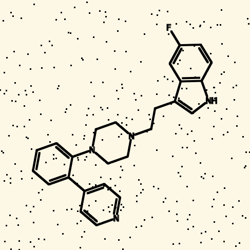 Fc1ccc2[nH]cc(CCN3CCN(c4ccccc4-c4ccncc4)CC3)c2c1